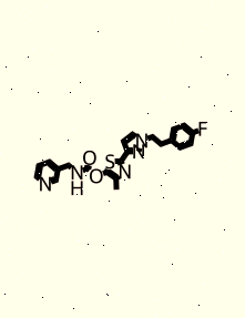 Cc1nc(-c2ccn(CCc3ccc(F)cc3)n2)sc1OC(=O)NCc1cccnc1